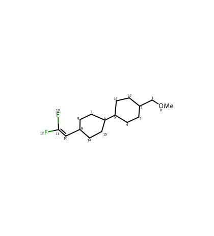 COCC1CCC(C2CCC(C=C(F)F)CC2)CC1